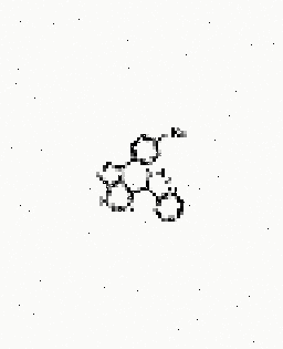 CC(C)(C)c1ccc(-c2csc3ncnc(C(N)c4ccccn4)c23)cc1